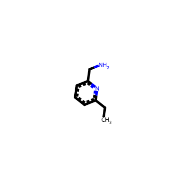 CCc1cccc(CN)n1